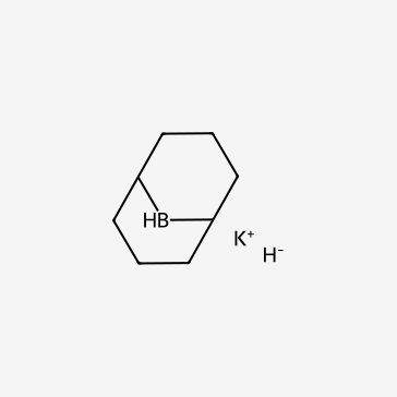 B1C2CCCC1CCC2.[H-].[K+]